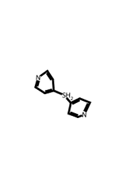 c1cc([SH2]c2ccncc2)ccn1